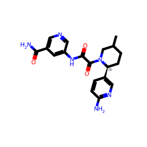 CC1CC[C@@H](c2ccc(N)nc2)N(C(=O)C(=O)Nc2cncc(C(N)=O)c2)C1